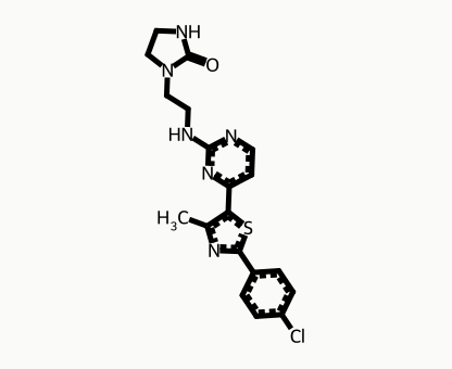 Cc1nc(-c2ccc(Cl)cc2)sc1-c1ccnc(NCCN2CCNC2=O)n1